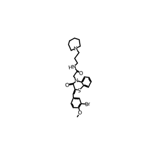 COc1ccc(/C=C2\Sc3ccccc3N(CC(=O)NCCCN3CCCCCC3)C2=O)cc1Br